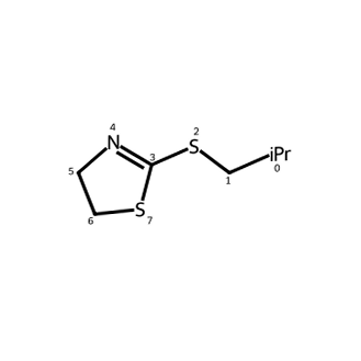 CC(C)CSC1=NCCS1